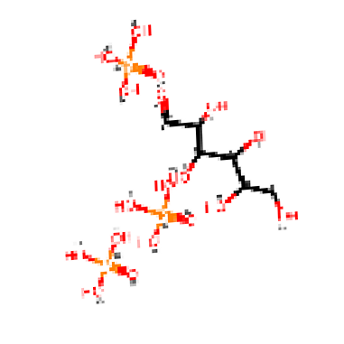 O=CC(O)C(O)C(O)C(O)CO.O=P(O)(O)O.O=P(O)(O)O.O=P(O)(O)O